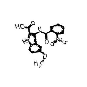 COc1ccc2[nH]c(C(=O)O)c(NC(=O)c3ccccc3[N+](=O)[O-])c2c1